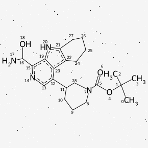 CC(C)(C)OC(=O)N1CCCC(c2cnc(C(N)O)c3[nH]c4c(c23)CCCC4)C1